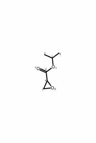 CC(C)OC(=O)C1CO1